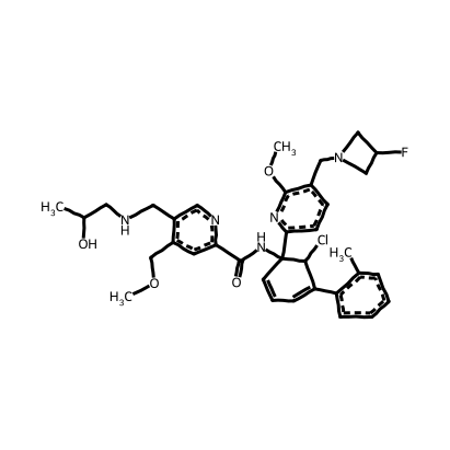 COCc1cc(C(=O)NC2(c3ccc(CN4CC(F)C4)c(OC)n3)C=CC=C(c3ccccc3C)C2Cl)ncc1CNCC(C)O